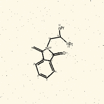 C=C1c2ccccc2C(=O)N1CC(CCC)CCC